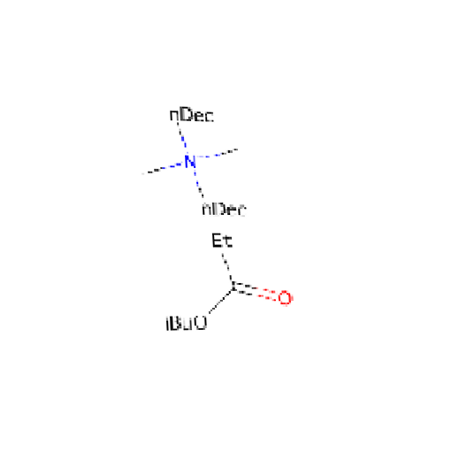 CCC(=O)OCC(C)C.CCCCCCCCCC[N+](C)(C)CCCCCCCCCC